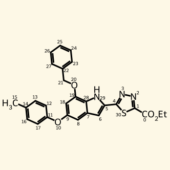 CCOC(=O)c1nnc(-c2cc3cc(Oc4ccc(C)cc4)cc(OCc4ccccc4)c3[nH]2)s1